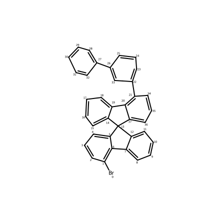 Brc1cccc2c1-c1ccccc1C21c2ccccc2-c2c(-c3cccc(-c4ccccc4)c3)cccc21